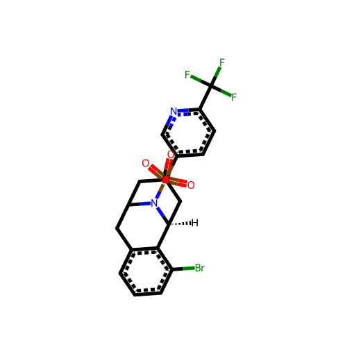 O=C1CC2Cc3cccc(Br)c3[C@H](C1)N2S(=O)(=O)c1ccc(C(F)(F)F)nc1